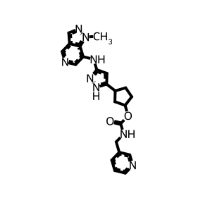 Cn1ncc2cncc(Nc3cc(C4CCC(OC(=O)NCc5cccnc5)C4)[nH]n3)c21